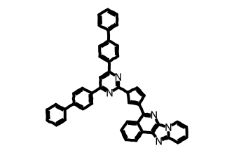 C1=CC(c2nc(-c3ccc(-c4ccccc4)cc3)cc(-c3ccc(-c4ccccc4)cc3)n2)C=C1c1nc2c(nc3ccccn32)c2ccccc12